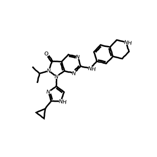 CC(C)n1c(=O)c2cnc(Nc3ccc4c(c3)CCNC4)nc2n1-c1c[nH]c(C2CC2)n1